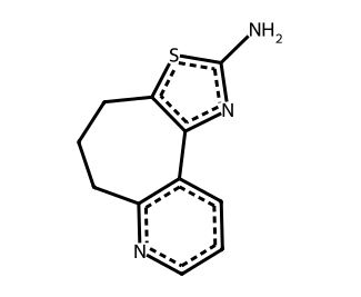 Nc1nc2c(s1)CCCc1ncccc1-2